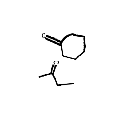 CCC(C)=O.O=C1CCCCC1